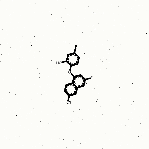 N#Cc1ccc2c(Oc3ccc(F)cc3O)cc(F)cc2c1